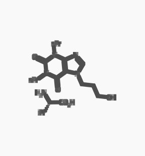 CC(C)[C@H](N)C(=O)O.CCCn1c(=O)c2c(ncn2CCCO)n(CCC)c1=O